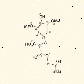 CCCCC(CC)COC(=O)C(=Cc1cc(OC)c(O)c(OC)c1)C(=O)O